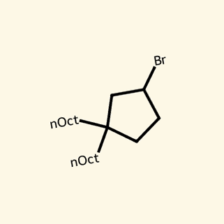 CCCCCCCCC1(CCCCCCCC)CCC(Br)C1